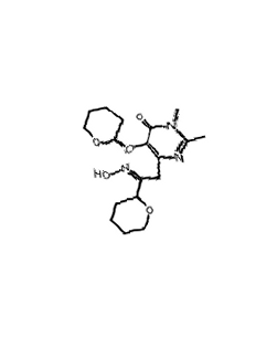 Cc1nc(CC(=NO)C2CCCCO2)c(OC2CCCCO2)c(=O)n1C